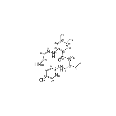 CCC(CNc1ccc(Cl)cn1)N(C)C(=O)c1cc(C)c(C)cc1N/N=C\C=N